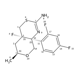 C[C@H]1C[C@@]2(F)CSC(N)=N[C@@]2(c2ccc(F)cc2F)CO1